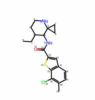 CCC1CCNC2(CC2)C1NC(=O)c1cc2ccc(C)c(Cl)c2s1